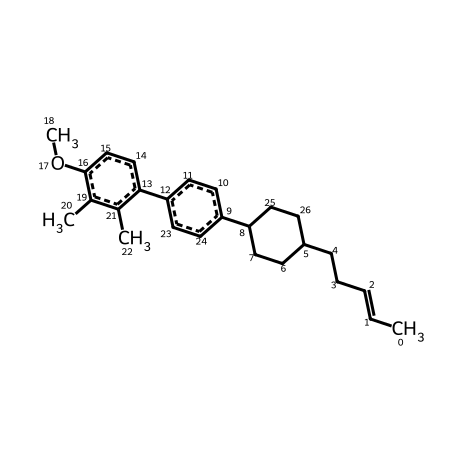 C/C=C/CCC1CCC(c2ccc(-c3ccc(OC)c(C)c3C)cc2)CC1